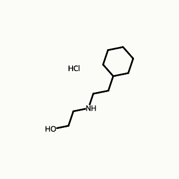 Cl.OCCNCCC1CCCCC1